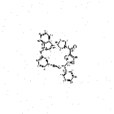 N#Cc1cccc(Cn2cc(C3CCN(C(=O)C4=COC(Cc5ccccc5)O4)C3)c3ccccc32)c1